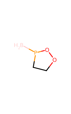 BP1CCOO1